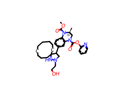 COC(=O)N1c2ccc(C3CN(CCO)NC34CCCCCCCCC4)cc2N(C(=O)Oc2ccccn2)C[C@@H]1C